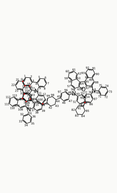 c1ccc(-c2ccccc2N(c2ccccc2)c2cc3ccccc3c3c2oc2c(N(c4ccccc4)c4ccc(C5CCC(c6ccc(N(c7ccccc7)c7cc8ccccc8c8c7oc7c(N(c9ccccc9)c9ccc(C%10CCCCC%10)cc9)cc9ccccc9c78)cc6)CC5)cc4-c4ccccc4)cc4ccccc4c23)cc1